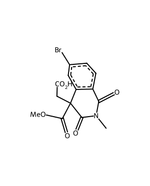 COC(=O)C1(CC(=O)O)C(=O)N(C)C(=O)c2ccc(Br)cc21